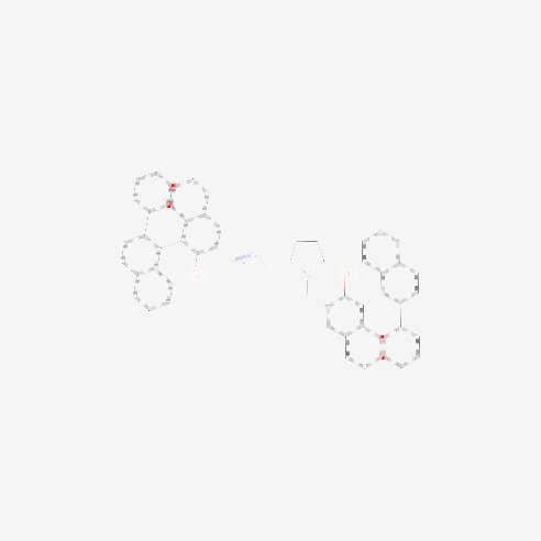 Oc1c(/C=N/C[C@@H]2CCCN2Cc2cc3ccccc3c(-c3c(-c4ccccc4)ccc4ccccc34)c2O)cc2ccccc2c1-c1c(-c2ccccc2)ccc2ccccc12